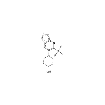 OC1CCN(c2nc3cscc3nc2C(F)(F)F)CC1